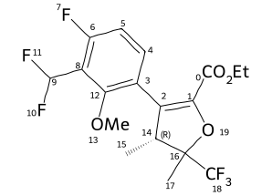 CCOC(=O)C1=C(c2ccc(F)c(C(F)F)c2OC)[C@@H](C)C(C)(C(F)(F)F)O1